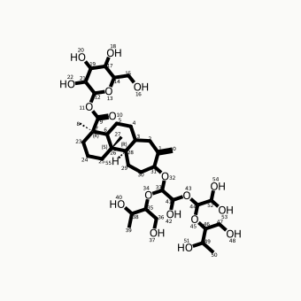 C=C1CC2CCC3[C@](C)(C(=O)OC4OC(CO)C(O)C(O)C4O)CCC[C@@]3(C)[C@@H]2CCC1OC(OC(CO)C(C)O)C(O)OC(OC(CO)C(C)O)C(O)O